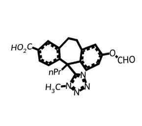 CCCC1(c2nnnn2C)c2ccc(OC=O)cc2CCc2cc(C(=O)O)ccc21